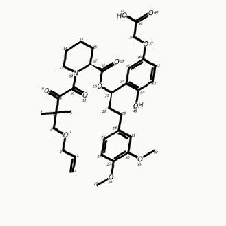 C=CCOCC(C)(C)C(=O)C(=O)N1CCCC[C@H]1C(=O)O[C@H](CCc1ccc(OC)c(OC)c1)c1cc(OCC(=O)O)ccc1O